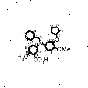 COc1ccc(N(Cc2cccnc2)c2ccc(C)c(C(=O)O)c2)cc1OC1CCCC1